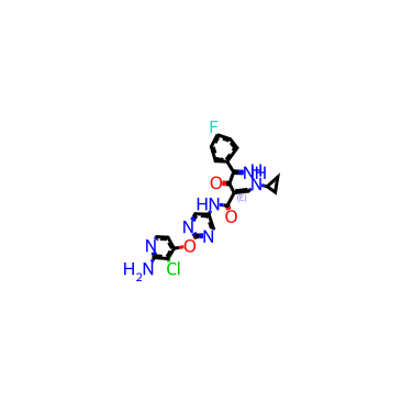 N=C(C(=O)/C(=C\NC1CC1)C(=O)Nc1cnc(Oc2ccnc(N)c2Cl)nc1)c1ccc(F)cc1